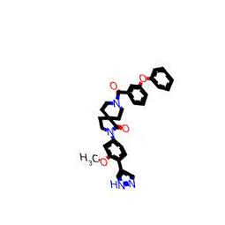 COc1cc(N2CCC3(CCN(C(=O)c4cccc(Oc5ccccc5)c4)CC3)C2=O)ccc1-c1cn[nH]c1